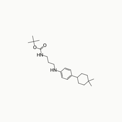 CC1(C)CCC(c2ccc(NCCCNC(=O)OC(C)(C)C)cc2)CC1